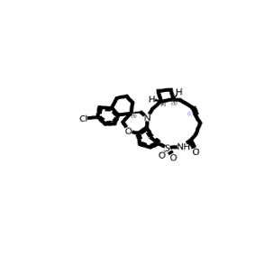 O=C1CC/C=C/C[C@@H]2CC[C@H]2CN2C[C@@]3(CCCc4cc(Cl)ccc43)COc3ccc(cc32)S(=O)(=O)N1